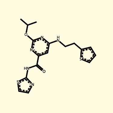 CC(C)Oc1nc(NCCc2cccs2)cc(C(=O)Nc2nccs2)n1